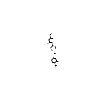 C=C(O)c1cnc(C2=CCN(C(=O)Nc3ccc(C(F)(F)F)c(F)c3)CC2)c(Cl)c1